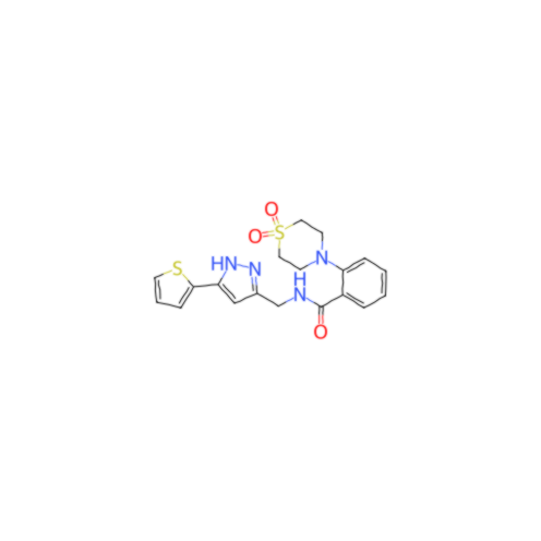 O=C(NCc1cc(-c2cccs2)[nH]n1)c1ccccc1N1CCS(=O)(=O)CC1